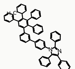 CC1C=CC=CC1c1c(-c2ccccc2)cc(-c2cccc(-c3ccc(-n4c(-c5ccccc5)nc(-c5ccccc5)c4-c4ccccc4)cc3)c2)c(-c2ccccc2)c1-c1ccccc1